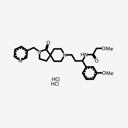 COCC(=O)NC(CCN1CCC2(CC1)CCN(Cc1cccnc1)C2=O)c1cccc(OC)c1.Cl.Cl